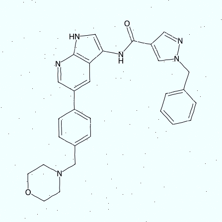 O=C(Nc1c[nH]c2ncc(-c3ccc(CN4CCOCC4)cc3)cc12)c1cnn(Cc2ccccc2)c1